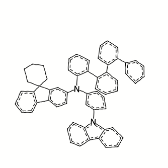 c1ccc(-c2ccccc2-c2ccccc2-c2ccccc2N(c2cccc(-n3c4ccccc4c4ccccc43)c2)c2ccc3c(c2)C2(CCCCC2)c2ccccc2-3)cc1